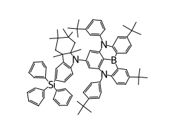 CC(C)(C)c1ccc(N2c3ccc(C(C)(C)C)cc3B3c4ccc(C(C)(C)C)cc4N(c4cccc(C(C)(C)C)c4)c4cc(N5c6ccc([Si](c7ccccc7)(c7ccccc7)c7ccccc7)cc6C6(C)CC(C)(C)C(C)(C)CC56C)cc2c43)cc1